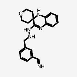 N=Cc1cccc(CNNC2=Nc3ccccc3NC23CCOCC3)c1